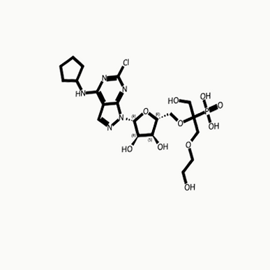 O=P(O)(O)C(CO)(COCCO)OC[C@H]1O[C@@H](n2ncc3c(NC4CCCC4)nc(Cl)nc32)[C@H](O)[C@@H]1O